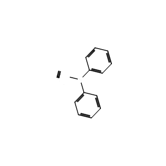 C=C.CCOC(=O)N(c1ccccc1)c1ccccc1